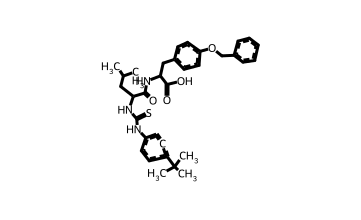 CC(C)CC(NC(=S)Nc1ccc(C(C)(C)C)cc1)C(=O)NC(Cc1ccc(OCc2ccccc2)cc1)C(=O)O